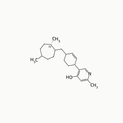 Cc1cc(O)c(C2C=CC(CC3CCC(C)CC[C@@H]3C)CC2)cn1